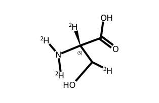 [2H]C(O)[C@@]([2H])(C(=O)O)N([2H])[2H]